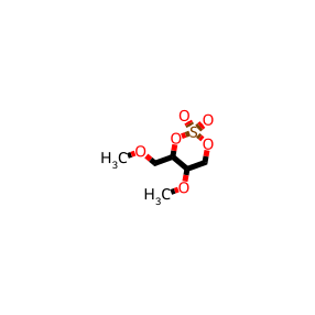 COCC1OS(=O)(=O)OCC1OC